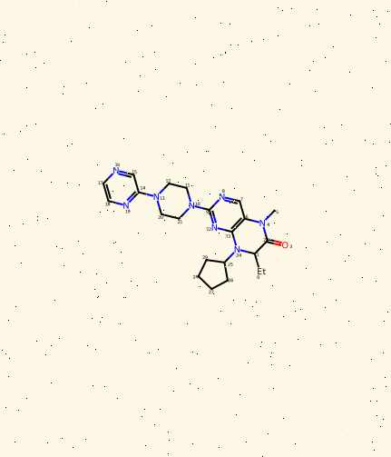 CCC1C(=O)N(C)c2cnc(N3CCN(c4cnccn4)CC3)nc2N1C1CCCC1